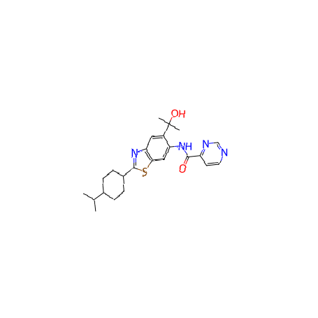 CC(C)C1CCC(c2nc3cc(C(C)(C)O)c(NC(=O)c4ccncn4)cc3s2)CC1